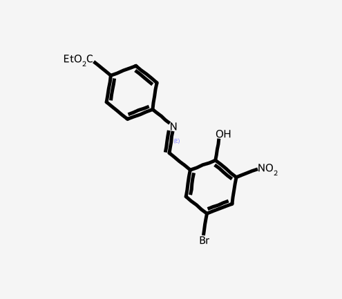 CCOC(=O)c1ccc(/N=C/c2cc(Br)cc([N+](=O)[O-])c2O)cc1